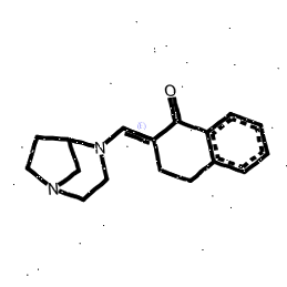 O=C1/C(=C/N2CCN3CCC2C3)CCc2ccccc21